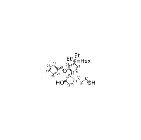 CCCCCCC(CC)(CC)c1ccc([C@@H]2C[C@H](O)CC[C@H]2CCCO)c(OCc2ccccc2)c1